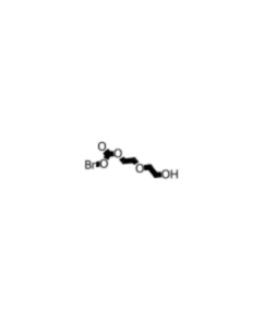 O=C(OBr)OCCOCCO